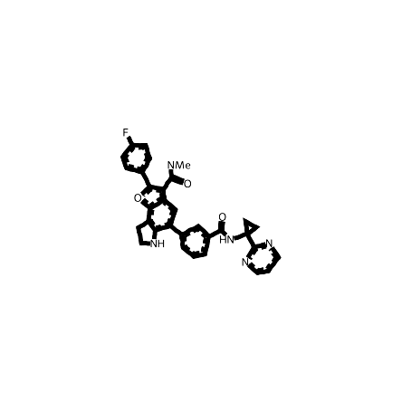 CNC(=O)c1c(-c2ccc(F)cc2)oc2c3c(c(-c4cccc(C(=O)NC5(c6ncccn6)CC5)c4)cc12)NCC3